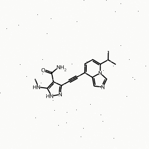 CNc1[nH]nc(C#Cc2ccc(C(C)C)n3cncc23)c1C(N)=O